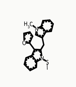 Cn1cc(Cc2c(-c3ccco3)c3ccccc3n2SI)c2ccccc21